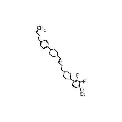 C=CCCc1ccc(C2CCC(/C=C/CCC3CCC(c4ccc(OCC)c(F)c4F)CC3)CC2)cc1